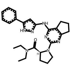 CCN(CC)C(=O)[C@@H]1CCCN1c1nc2c(c(Nc3cc(-c4ccccc4)[nH]n3)n1)CCC2